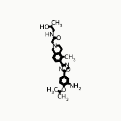 Cc1c(-c2noc(-c3ccc(OC(C)C)c(N)c3)n2)ccc2c1CCN(CC(=O)NC[C@H](C)O)C2